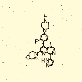 Cc1cnc(-c2ccn[nH]2)c2nc(N3CCOC[C@H]3C)cc(-c3ccc(N4CCNCC4)cc3F)c12